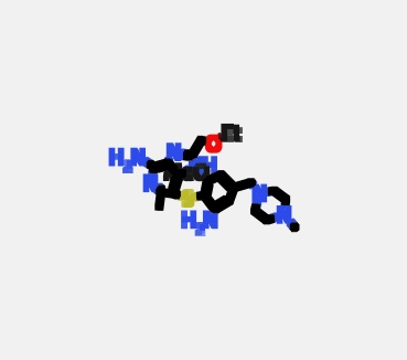 CCOCc1nc2c(N)nc(C)c(Sc3c(N)cc(CN4CCN(C)CC4)cc3OC)c2[nH]1